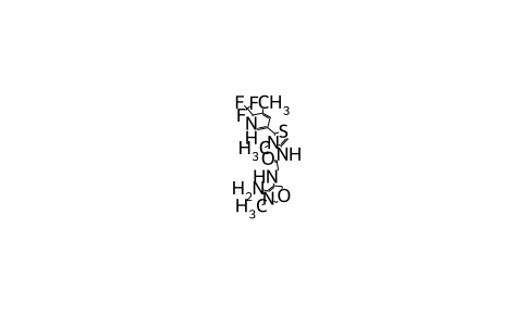 CC1=CC(C2SC=C(NC(=O)CNC3=C(N)N(C)COC3)N2C)=CNC1C(F)(F)F